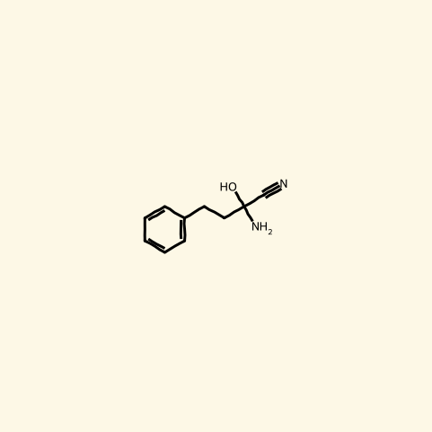 N#CC(N)(O)CCc1ccccc1